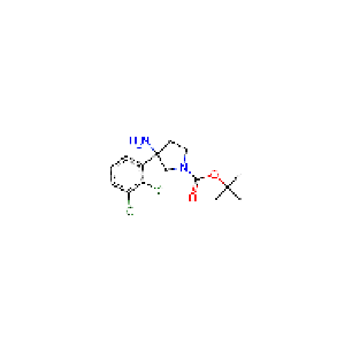 CC(C)(C)OC(=O)N1CCC(N)(c2cccc(Cl)c2Cl)C1